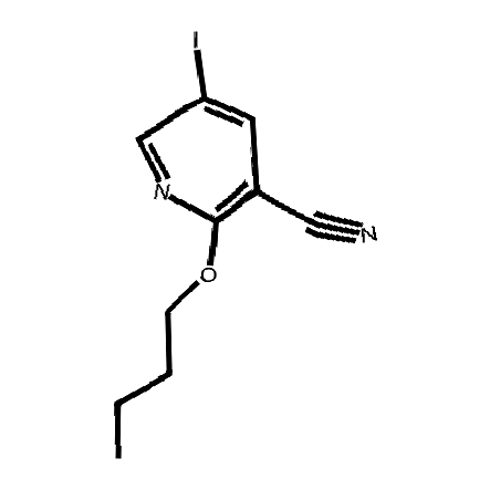 CCCCOc1ncc(I)cc1C#N